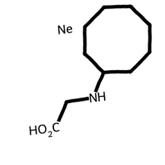 O=C(O)CNC1CCCCCCC1.[Ne]